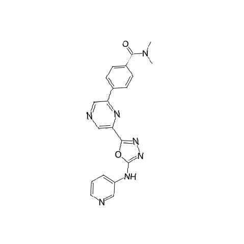 CN(C)C(=O)c1ccc(-c2cncc(-c3nnc(Nc4cccnc4)o3)n2)cc1